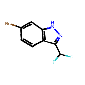 FC(F)c1n[nH]c2cc(Br)ccc12